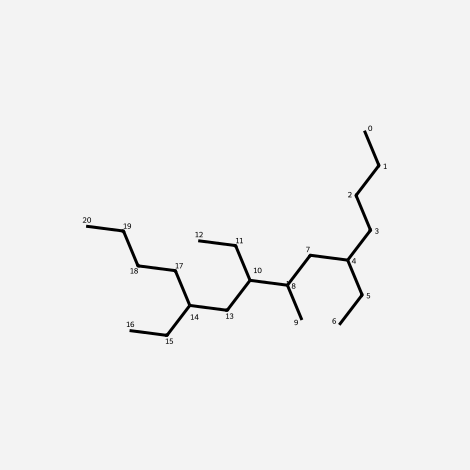 CCCCC(CC)C[C](C)C(CC)CC(CC)CCCC